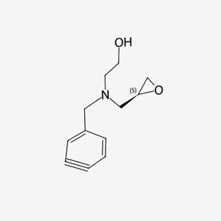 OCCN(Cc1cc#ccc1)C[C@H]1CO1